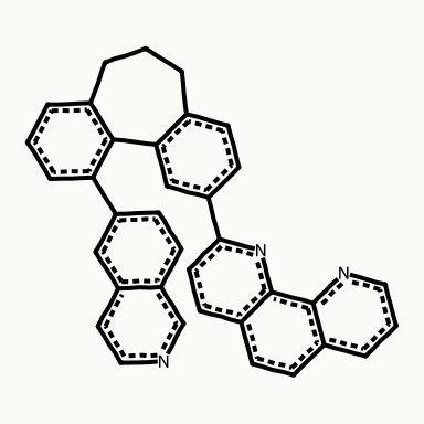 c1cc2c(c(-c3ccc4cnccc4c3)c1)-c1cc(-c3ccc4ccc5cccnc5c4n3)ccc1CCC2